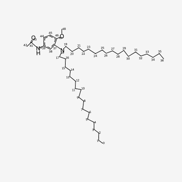 CCCCCCCCCCCCCCCCCCN(CCCCCCCCCCCCCCCCCC)c1cc(NC(C)=O)ccc1OC